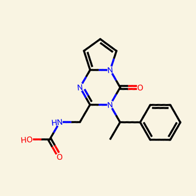 CC(c1ccccc1)n1c(CNC(=O)O)nc2cccn2c1=O